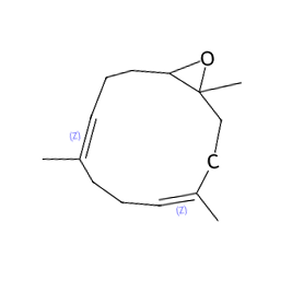 C/C1=C/CCC2OC2(C)CC/C(C)=C\CC1